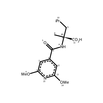 COc1cc(C(=O)N[C@](C)(CC(C)C)C(=O)O)cc(OC)n1